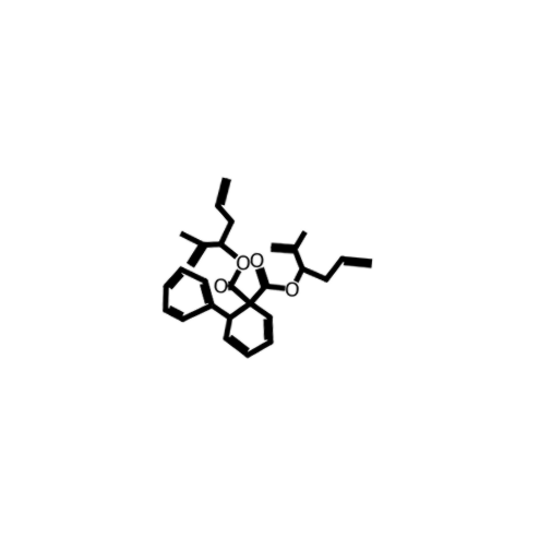 C=CCC(OC(=O)C1(C(=O)OC(CC=C)C(=C)C)C=CC=CC1c1ccccc1)C(=C)C